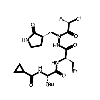 CC(C)C[C@H](NC(=O)[C@@H](NC(=O)C1CC1)C(C)(C)C)C(=O)NN(C[C@@H]1CCNC1=O)C(=O)[C@H](F)Cl